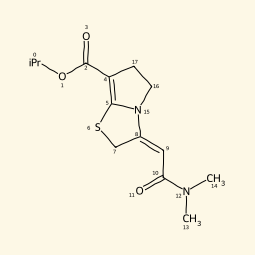 CC(C)OC(=O)C1=C2SCC(=CC(=O)N(C)C)N2CC1